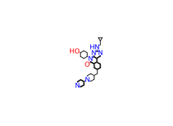 O=c1c2cc(CC3CCN(c4ccncc4)CC3)ccc2c2cnc(NCC3CC3)nc2n1[C@H]1CC[C@H](O)CC1